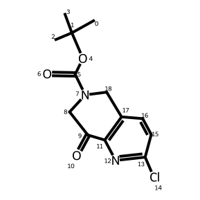 CC(C)(C)OC(=O)N1CC(=O)c2nc(Cl)ccc2C1